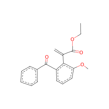 C=C(C(=O)OCC)c1c(OC)cccc1C(=O)c1ccccc1